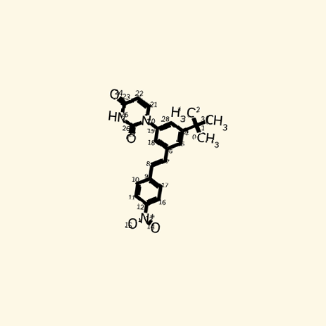 CC(C)(C)c1cc(C=Cc2ccc([N+](=O)[O-])cc2)cc(-n2ccc(=O)[nH]c2=O)c1